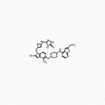 Cc1c(CN2CCC(Nc3ncnc4sc(CC(F)(F)F)cc34)CC2)ccc2c1cc(C#N)n2CC12CC(Nc3n[nH]c(=O)[nH]3)(C1)C2